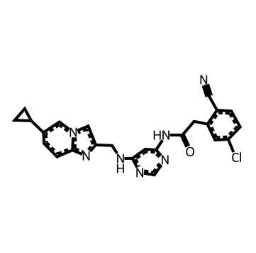 N#Cc1ccc(Cl)cc1CC(=O)Nc1cc(NCc2cn3cc(C4CC4)ccc3n2)ncn1